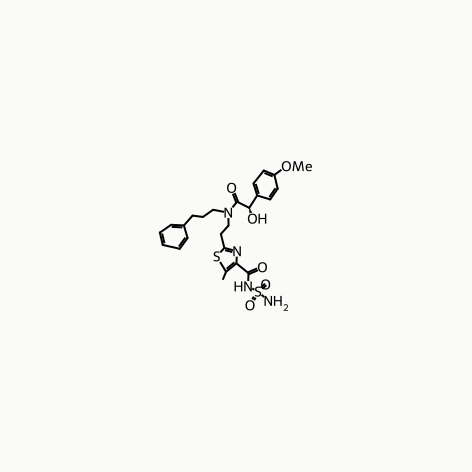 COc1ccc([C@@H](O)C(=O)N(CCCc2ccccc2)CCc2nc(C(=O)NS(N)(=O)=O)c(C)s2)cc1